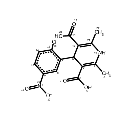 CC1=C(C(=O)O)C(c2cc([N+](=O)[O-])ccc2Cl)C(C(=O)O)=C(C)N1